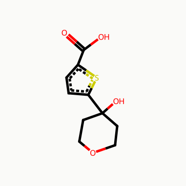 O=C(O)c1ccc(C2(O)CCOCC2)s1